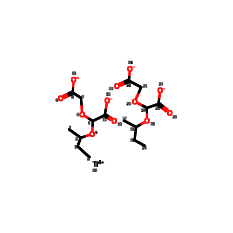 CCC(C)OC(OCC(=O)[O-])C(=O)[O-].CCC(C)OC(OCC(=O)[O-])C(=O)[O-].[Ti+4]